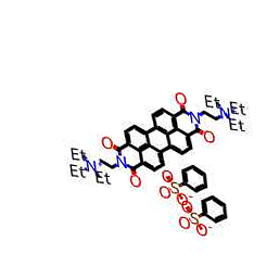 CC[N+](CC)(CC)CCN1C(=O)c2ccc3c4ccc5c6c(ccc(c7ccc(c2c37)C1=O)c64)C(=O)N(CC[N+](CC)(CC)CC)C5=O.O=S(=O)([O-])c1ccccc1.O=S(=O)([O-])c1ccccc1